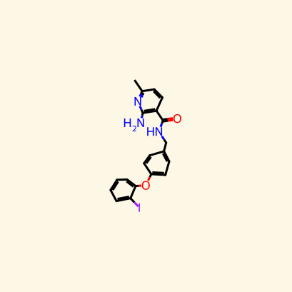 Cc1ccc(C(=O)NCc2ccc(Oc3ccccc3I)cc2)c(N)n1